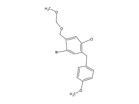 COCOCc1cc(Cl)c(Cc2ccc(OC)cc2)cc1Br